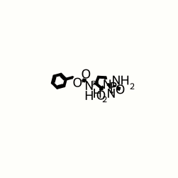 NP(N)(=O)N1CC[C@@H](NC(=O)OCc2ccccc2)C1=O